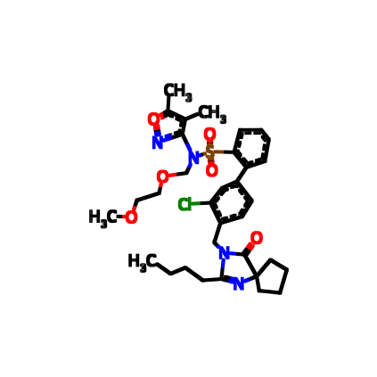 CCCCC1=NC2(CCCC2)C(=O)N1Cc1ccc(-c2ccccc2S(=O)(=O)N(COCCOC)c2noc(C)c2C)cc1Cl